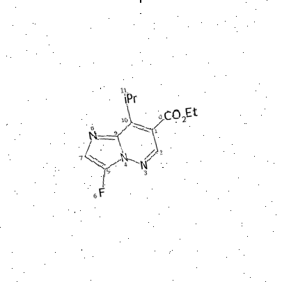 CCOC(=O)c1cnn2c(F)cnc2c1C(C)C